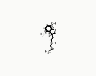 COCNCC[C@@]1(O)COc2c(O)ccc(C)c21